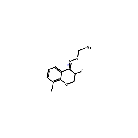 CC(C)(C)CS/N=C1/c2cccc(F)c2OCC1F